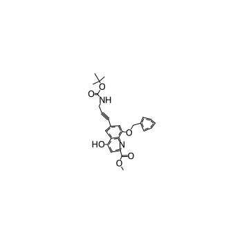 COC(=O)c1cc(O)c2cc(C#CCNC(=O)OC(C)(C)C)cc(OCc3ccccc3)c2n1